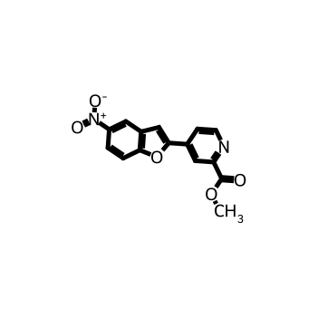 COC(=O)c1cc(-c2cc3cc([N+](=O)[O-])ccc3o2)ccn1